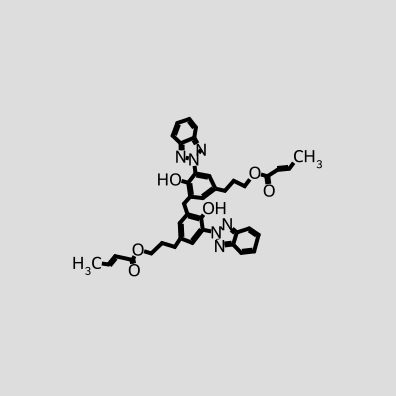 CC=CC(=O)OCCCc1cc(Cc2cc(CCCOC(=O)C=CC)cc(-n3nc4ccccc4n3)c2O)c(O)c(-n2nc3ccccc3n2)c1